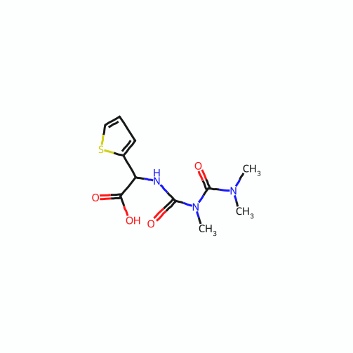 CN(C)C(=O)N(C)C(=O)NC(C(=O)O)c1cccs1